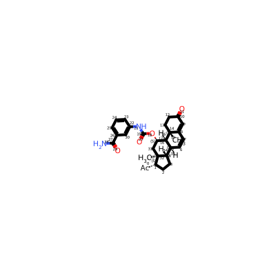 CC(=O)[C@H]1CC[C@H]2[C@@H]3C=CC4=CC(=O)CC[C@@]4(C)[C@@H]3[C@@H](OC(=O)Nc3cccc(C(N)=O)c3)C[C@]12C